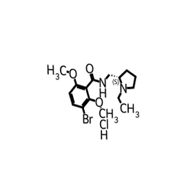 CCN1CCC[C@H]1CNC(=O)c1c(OC)ccc(Br)c1OC.Cl